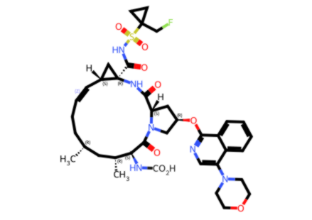 C[C@@H]1CC/C=C\[C@@H]2C[C@@]2(C(=O)NS(=O)(=O)C2(CF)CC2)NC(=O)[C@@H]2C[C@@H](Oc3ncc(N4CCOCC4)c4ccccc34)CN2C(=O)[C@@H](NC(=O)O)[C@H](C)C1